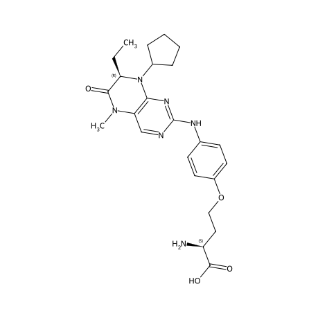 CC[C@@H]1C(=O)N(C)c2cnc(Nc3ccc(OCC[C@H](N)C(=O)O)cc3)nc2N1C1CCCC1